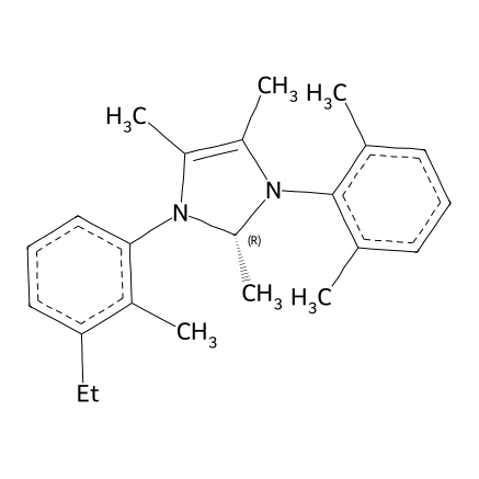 CCc1cccc(N2C(C)=C(C)N(c3c(C)cccc3C)[C@@H]2C)c1C